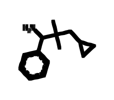 CC(C)(CC1CC1)C(N)c1ccccc1